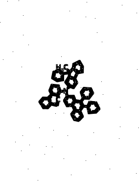 CC1(c2ccccc2)c2ccccc2-c2ccc(N(c3ccc4c(c3)c(-c3ccccc3)c(-c3ccccc3)c3ccccc34)c3cccc4c3ccc3ccccc34)cc21